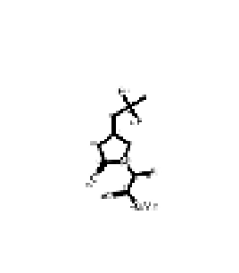 CCC(C(=O)OC)N1CC(CC(C)(F)F)CC1=O